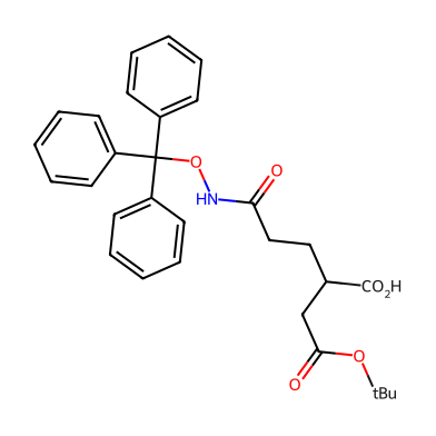 CC(C)(C)OC(=O)CC(CCC(=O)NOC(c1ccccc1)(c1ccccc1)c1ccccc1)C(=O)O